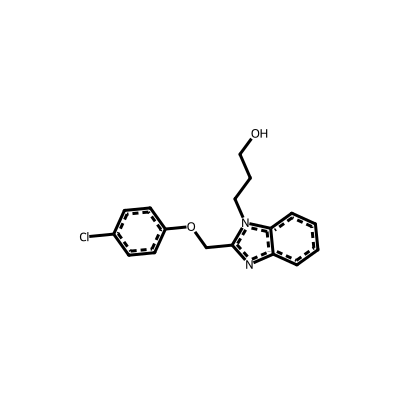 OCCCn1c(COc2ccc(Cl)cc2)nc2ccccc21